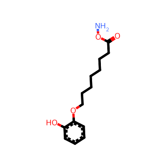 NOC(=O)CCCCCCCOc1ccccc1O